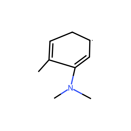 CC1=CC[CH]C=C1N(C)C